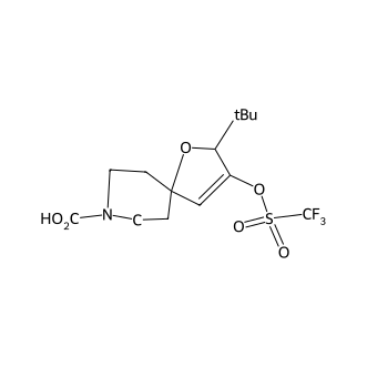 CC(C)(C)C1OC2(C=C1OS(=O)(=O)C(F)(F)F)CCN(C(=O)O)CC2